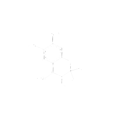 CC(=O)Nc1cc2c(cc1[N+](=O)[O-])C(NC(C)=O)C(O)C(C)(C)O2